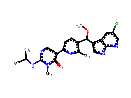 COC(c1ccc(-c2cnc(NC(C)C)n(C)c2=O)nc1C)c1c[nH]c2ncc(Cl)cc12